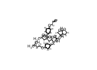 CC(C)CN(C[C@@H](O)[C@H](Cc1ccc(OCCN(C)C)cc1)NC(=O)OC1CO[C@H]2OCC[C@@H]12)S(=O)(=O)c1ccc(OCP=O)cc1